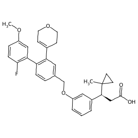 COc1ccc(F)c(-c2ccc(COc3cccc([C@H](CC(=O)O)C4(C)CC4)c3)cc2C2=CCOCC2)c1